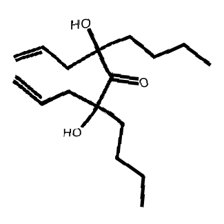 C=CCC(O)(CCCC)C(=O)C(O)(CC=C)CCCC